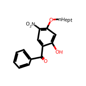 CCCCCCCOc1cc(O)c(C(=O)c2ccccc2)cc1[N+](=O)[O-]